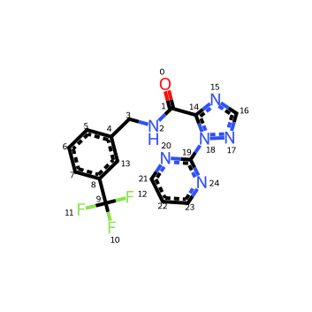 O=C(NCc1cccc(C(F)(F)F)c1)c1ncnn1-c1ncccn1